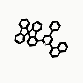 c1ccc(-c2cc(-c3cccc4c3-c3ccccc3C43c4ccccc4-c4ccccc43)nc(-c3cccc4ccccc34)c2)cc1